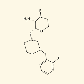 N[C@@H]1[C@@H](F)CCO[C@@H]1CN1CCCC(Cc2ccccc2F)C1